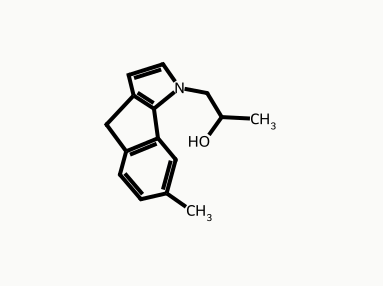 Cc1ccc2c(c1)-c1c(ccn1CC(C)O)C2